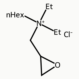 CCCCCC[N+](CC)(CC)CC1CO1.[Cl-]